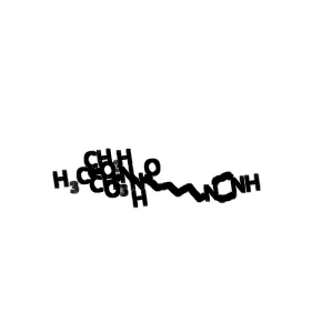 CC(C)(C)OC(=O)NNC(=O)CCCCCN1CCNCC1